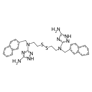 Nc1nc(N(CCSSCCN(Cc2ccc3ccccc3c2)c2n[nH]c(N)n2)Cc2ccc3ccccc3c2)n[nH]1